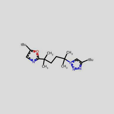 CC(C)(C)c1cn(C(C)(C)CCC(C)(C)c2ncc(C(C)(C)C)o2)nn1